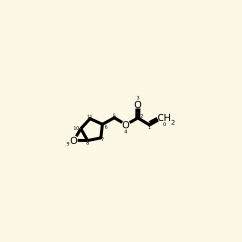 C=CC(=O)OCC1CC2OC2C1